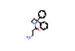 NCCC(=O)N1CCC1(c1ccccc1)c1ccccc1